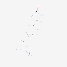 CC(C)(C)NC(=S)N(C(=O)C1CC[C@H]2[C@@H]3CCC4NC(=O)C=C[C@]4(C)[C@@H]3CC[C@]12C)C(C)(C)C